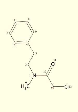 CN(CCc1ccccc1)C(=O)CCl